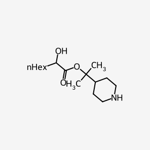 CCCCCCC(O)C(=O)OC(C)(C)C1CCNCC1